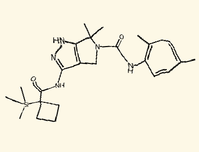 Cc1ccc(NC(=O)N2Cc3c(NC(=O)C4([Si](C)(C)C)CCC4)n[nH]c3C2(C)C)c(C)c1